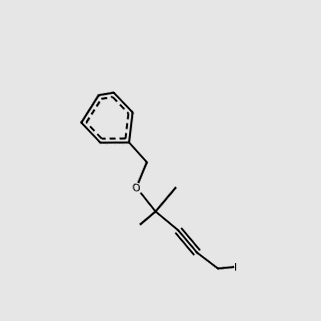 CC(C)(C#CCI)OCc1ccccc1